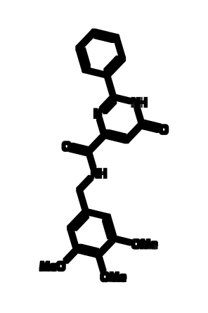 COc1cc(CNC(=O)c2cc(=O)[nH]c(-c3ccccc3)n2)cc(OC)c1OC